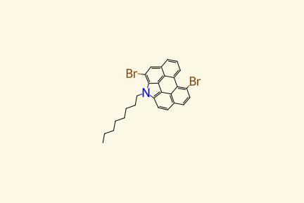 CCCCCCCCn1c2ccc3ccc(Br)c4c5cccc6cc(Br)c1c(c65)c2c34